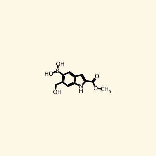 COC(=O)c1cc2cc(B(O)O)c(CO)cc2[nH]1